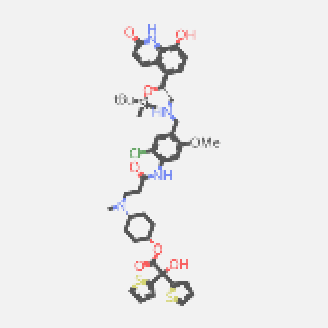 COc1cc(NC(=O)CCN(C)[C@H]2CC[C@H](OC(=O)C(O)(c3cccs3)c3cccs3)CC2)c(Cl)cc1CNC[C@H](O[Si](C)(C)C(C)(C)C)c1ccc(O)c2[nH]c(=O)ccc12